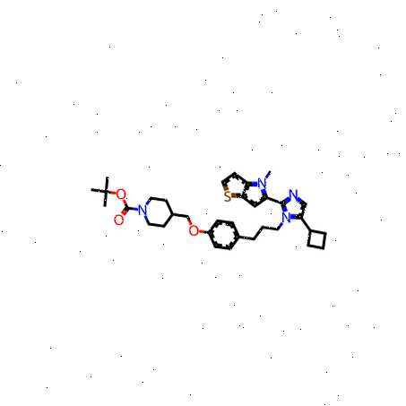 Cn1c(-c2ncc(C3CCC3)n2CCCc2ccc(OCC3CCN(C(=O)OC(C)(C)C)CC3)cc2)cc2sccc21